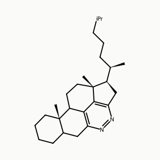 CC(C)CCC[C@@H](C)[C@H]1Cc2nnc3c4c2[C@]1(C)CCC4[C@@]1(C)CCCCC1C3